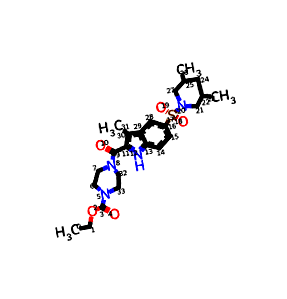 CCOC(=O)N1CCN(C(=O)c2[nH]c3ccc(S(=O)(=O)N4CC(C)CC(C)C4)cc3c2C)CC1